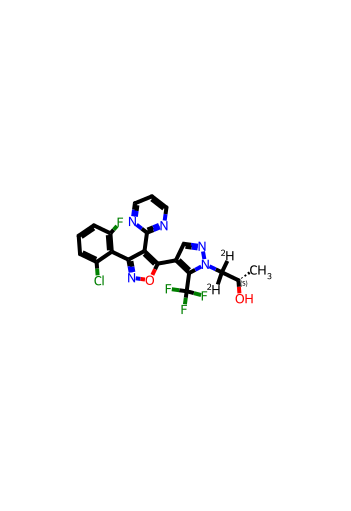 [2H]C([2H])([C@H](C)O)n1ncc(-c2onc(-c3c(F)cccc3Cl)c2-c2ncccn2)c1C(F)(F)F